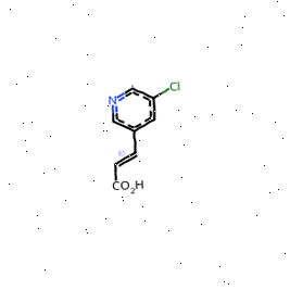 O=C(O)/C=C/c1cn[c]c(Cl)c1